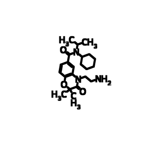 CC(C)N(C(=O)c1ccc2c(c1)N(CCN)C(=O)C(C)(C)O2)C1CCCCC1